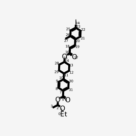 CCOC(C)OC(=O)c1ccc(C2CCC(OC(=O)/C=C/c3ccc(I)cc3C)CC2)cc1